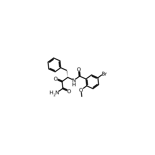 COc1ccc(Br)cc1C(=O)N[C@@H](Cc1ccccc1)C(=O)C(N)=O